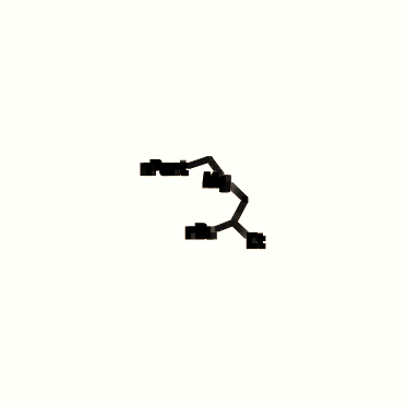 CCCCC[CH2][Mg][CH2]C(CC)CCCC